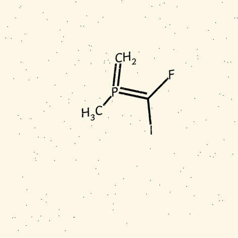 C=P(/C)=C(\F)I